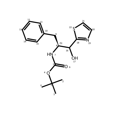 CC(C)(C)OC(=O)N[C@@H](Cc1ccccc1)C(O)c1nccs1